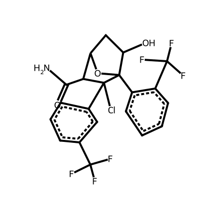 NC(=O)C1C2CC(O)C(c3ccccc3C(F)(F)F)(O2)C1(Cl)c1cccc(C(F)(F)F)c1